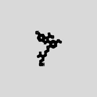 COc1ccc(OCCCN(CCO)C(C)C)c(C2Sc3ccc(Cl)cc3N2C(C)=O)c1